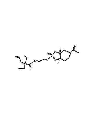 C=CCC(CC)(CC)C(=O)NCCOP1(=S)O[C@]2(C)CC[C@H](C(=C)C)C[C@H]2S1